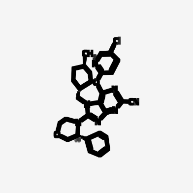 C[C@H]1CC[C@H](Cn2c(N3CCOC[C@H]3c3ccccc3)nc3nc(C#N)nc(Oc4ccc(Cl)cn4)c32)CC1